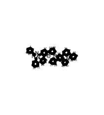 c1ccc(-c2nc(-c3ccccc3)nc(-c3ccc4c(oc5c(-n6c7ccccc7c7ccc(-c8cccc9c%10ccccc%10n(-c%10ccccc%10)c89)cc76)cccc54)c3-c3ccccc3)n2)cc1